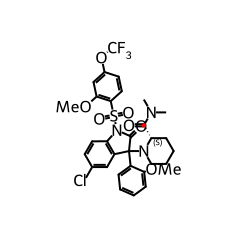 COc1ccccc1C1(N2CCCC[C@H]2C(=O)N(C)C)C(=O)N(S(=O)(=O)c2ccc(OC(F)(F)F)cc2OC)c2ccc(Cl)cc21